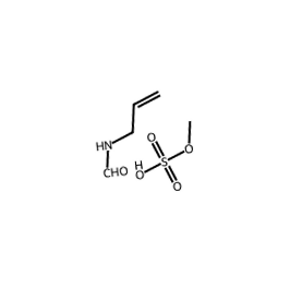 C=CCNC=O.COS(=O)(=O)O